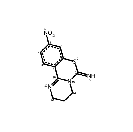 N=C1Sc2cc([N+](=O)[O-])ccc2C2=NCCCN12